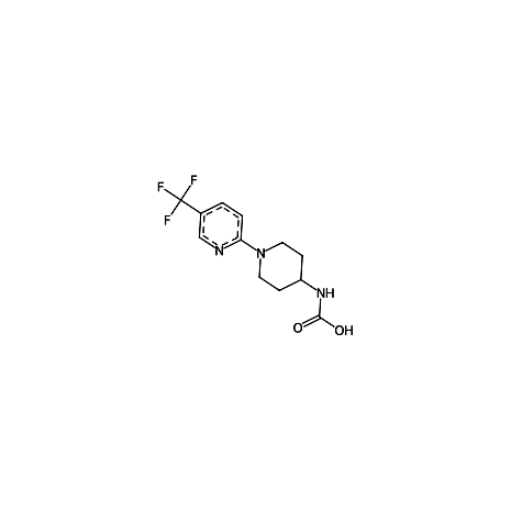 O=C(O)NC1CCN(c2ccc(C(F)(F)F)cn2)CC1